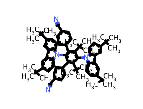 CC(C)(C)c1ccc2c(c1)c1cc(C(C)(C)C)ccc1n2-c1c(-c2ccc(C#N)cc2)c(C(C)(C)C)c(-n2c3ccc(C(C)(C)C)cc3c3cc(C(C)(C)C)ccc32)c(C(C)(C)C)c1-c1ccc(C#N)cc1